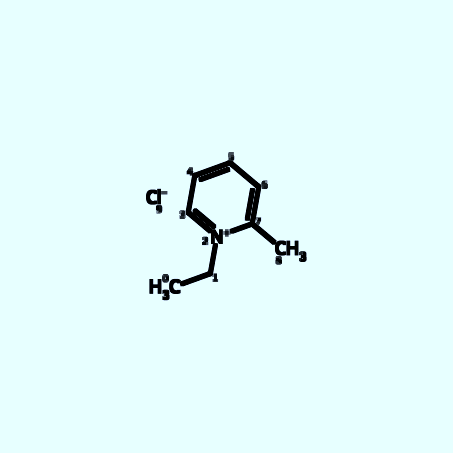 CC[n+]1ccccc1C.[Cl-]